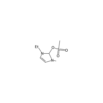 CCN1C=CN(C)C1OS(C)(=O)=O